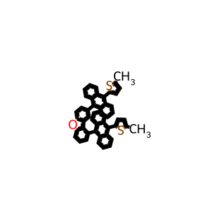 Cc1ccc(-c2c3ccccc3c(-c3ccc4oc5cccc(-c6c7ccccc7c(-c7ccc(C)s7)c7ccccc67)c5c4c3)c3ccccc23)s1